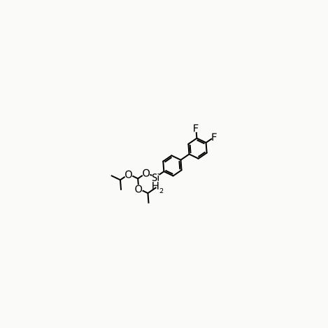 CC(C)OC(O[SiH2]c1ccc(-c2ccc(F)c(F)c2)cc1)OC(C)C